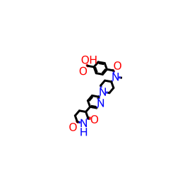 CN(C(=O)c1ccc(C(=O)O)cc1)C1CCN(c2ccc(C3CCC(=O)NC3=O)cn2)CC1